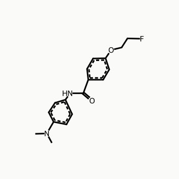 CN(C)c1ccc(NC(=O)c2ccc(OCCF)cc2)cc1